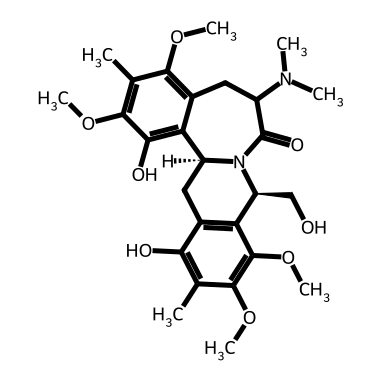 COc1c(C)c(OC)c2c(c1O)[C@@H]1Cc3c(O)c(C)c(OC)c(OC)c3[C@H](CO)N1C(=O)C(N(C)C)C2